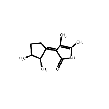 CC1=C(C)/C(=C2\CC[C@H](C)[C@@H]2C)C(=O)N1